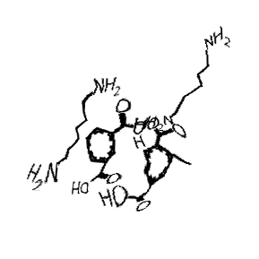 Cc1cc(C(=O)O)ccc1C(=O)O.NCCCCCCN.NCCCCCCN.O=C(O)c1cccc(C(=O)O)c1